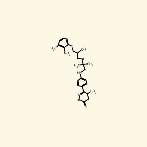 Cc1cccc(OCC(O)CNC(C)(C)CNc2ccc(C3=NNC(=O)CC3C)cc2)c1[N+](=O)[O-]